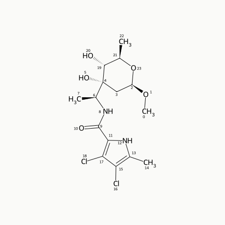 CO[C@H]1C[C@@](O)([C@H](C)NC(=O)c2[nH]c(C)c(Cl)c2Cl)[C@H](O)[C@@H](C)O1